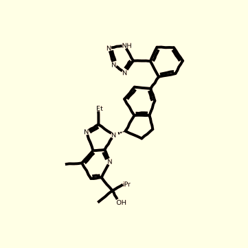 CCc1nc2c(C)cc(C(C)(O)C(C)C)nc2n1[C@H]1CCc2cc(-c3ccccc3-c3nnn[nH]3)ccc21